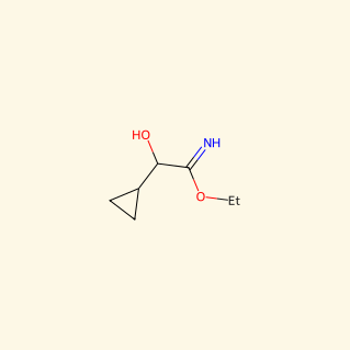 CCOC(=N)C(O)C1CC1